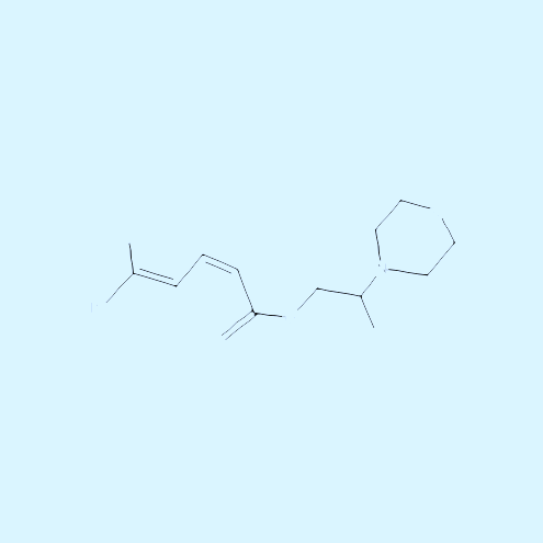 C=C(/C=C\C=C(/C)C(C)C)OCC(O)N1CCOCC1